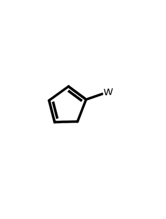 [W][C]1=CC=CC1